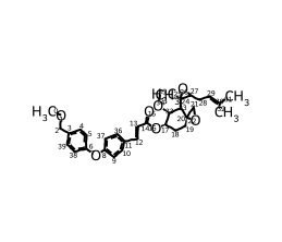 COCc1ccc(Oc2ccc(/C=C/C(=O)O[C@@H]3CC[C@]4(CO4)C([C@]4(C)OC4CC=C(C)C)[C@@H]3OC)cc2)cc1